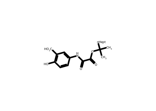 CCCCCCCC(C)(C)OC(=O)C(=O)Nc1ccc(O)c(C(=O)O)c1